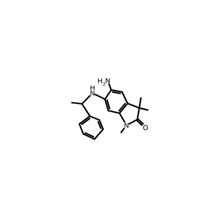 CC(Nc1cc2c(cc1N)C(C)(C)C(=O)N2C)c1ccccc1